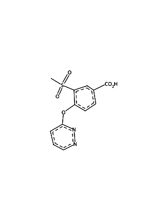 CS(=O)(=O)c1cc(C(=O)O)ccc1Oc1cccnn1